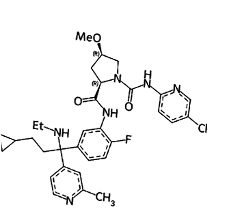 CCNC(CCC1CC1)(c1ccnc(C)c1)c1ccc(F)c(NC(=O)[C@H]2C[C@@H](OC)CN2C(=O)Nc2ccc(Cl)cn2)c1